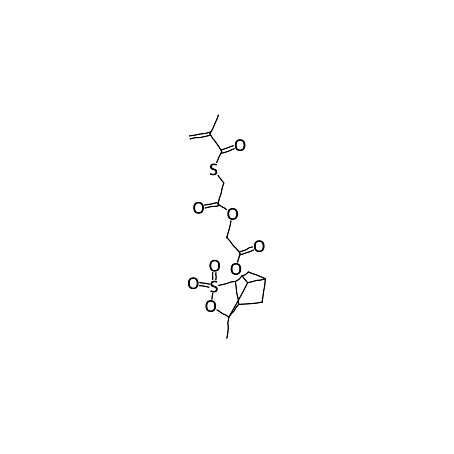 C=C(C)C(=O)SCC(=O)OCC(=O)OC1C2CC3C(C2)S(=O)(=O)OC31C